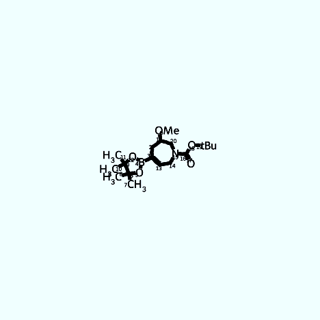 COC1CC(B2OC(C)(C)C(C)(C)O2)=CCN(C(=O)OC(C)(C)C)C1